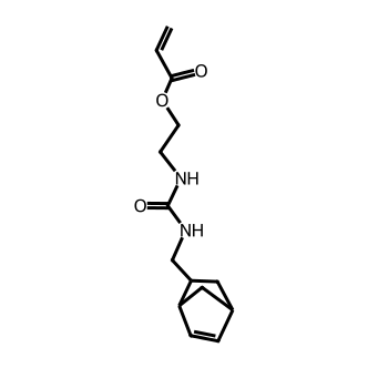 C=CC(=O)OCCNC(=O)NCC1CC2C=CC1C2